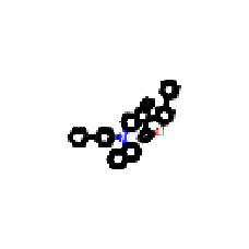 C1=CC(c2ccc(N(c3ccc4c(c3)C3(c5ccccc5Oc5ccc(-c6ccccc6)cc53)c3ccccc3-4)c3cccc4ccccc34)cc2)=CCC1